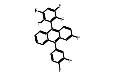 Fc1ccc2c(-c3c(F)c(F)cc(F)c3F)c3ccccc3c(-c3ccc(F)c(F)c3)c2c1